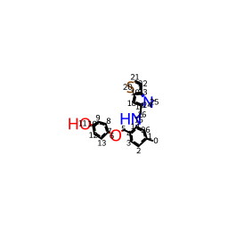 Cc1ccc(COc2ccc(O)cc2)c(NCc2cc3sccc3n2C)c1